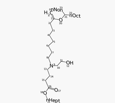 C=C(CCCCCCCN(CCO)CCCC(=O)OCCCCCCC)OC(CCCCCCCC)CCCCCCCCC